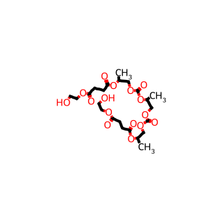 CC(COC(=O)OCC(C)OC(=O)OCC(C)OC(=O)CCC(=O)OCCO)OC(=O)CCC(=O)OCCO